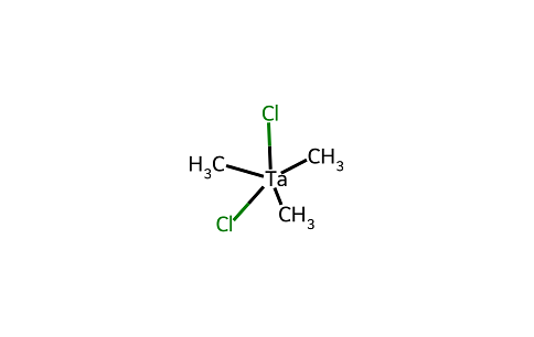 [CH3][Ta]([CH3])([CH3])([Cl])[Cl]